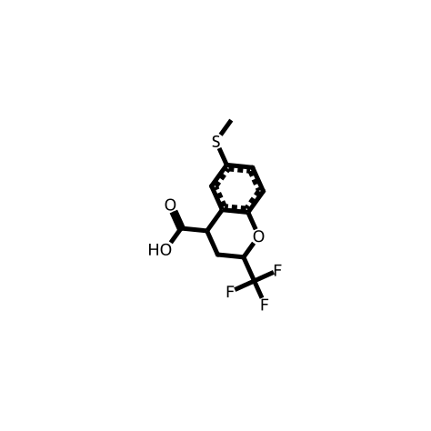 CSc1ccc2c(c1)C(C(=O)O)CC(C(F)(F)F)O2